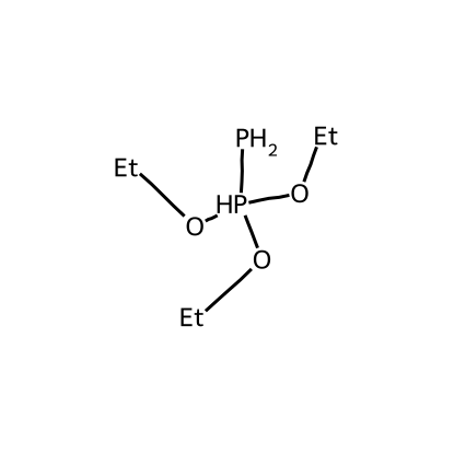 CCO[PH](P)(OCC)OCC